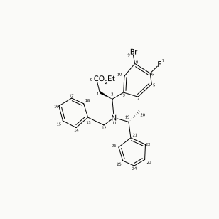 CCOC(=O)C[C@@H](c1ccc(F)c(Br)c1)N(Cc1ccccc1)[C@H](C)c1ccccc1